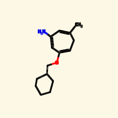 CC1=CC(N)=CC(OCC2CCCCC2)=CC1